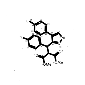 COC(=O)C(C(=O)OC)C(c1ccc(F)cc1)c1n[nH]cc1-c1ccc(Cl)cc1